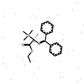 CCOC(=O)[C@](C)(N=C(c1ccccc1)c1ccccc1)[Si](C)(C)C